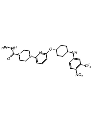 CCCNC(=O)N1CCN(c2cccc(O[C@H]3CC[C@H](Nc4ccc([N+](=O)[O-])c(C(F)(F)F)c4)CC3)n2)CC1